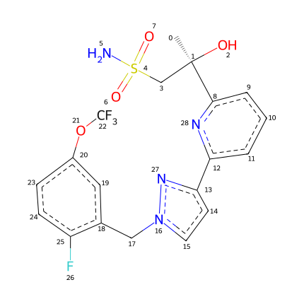 C[C@@](O)(CS(N)(=O)=O)c1cccc(-c2ccn(Cc3cc(OC(F)(F)F)ccc3F)n2)n1